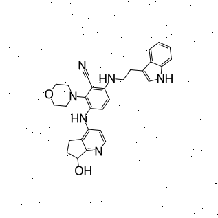 N#Cc1c(NCCc2c[nH]c3ccccc23)ccc(Nc2ccnc3c2CCC3O)c1N1CCOCC1